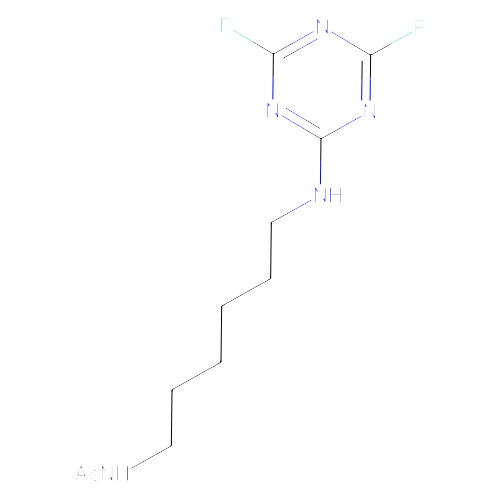 CC(=O)NCCCCCCNc1nc(F)nc(F)n1